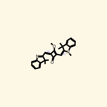 COC1=C(/C=C2/N(C)c3ccccc3C2(C)C)C(=O)/C1=C\C1=Nc2ccccc2C1(C)C